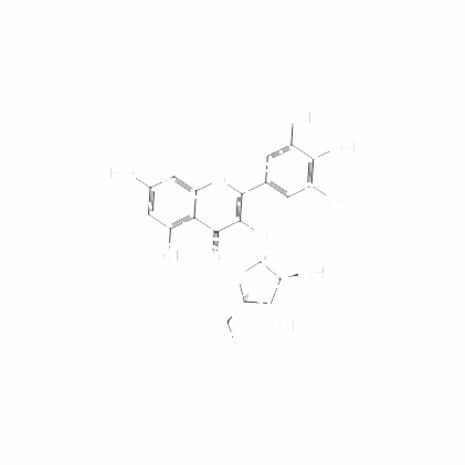 O=c1c(O[C@H]2O[C@H](CO)[C@@H](O)[C@@H]2O)c(-c2cc(O)c(O)c(O)c2)oc2cc(O)cc(O)c12